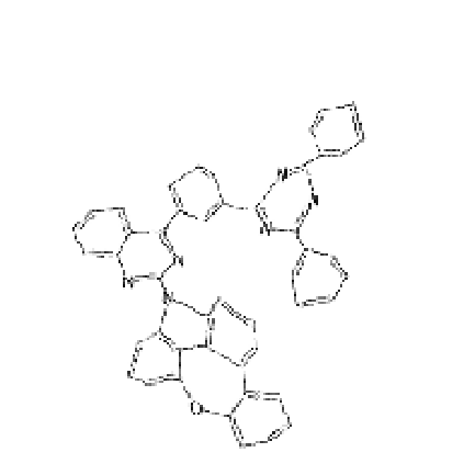 c1ccc(-c2nc(-c3ccccc3)nc(-c3cccc(-c4nc(-n5c6cccc7oc8ccccc8c8cccc5c8c76)nc5ccccc45)c3)n2)cc1